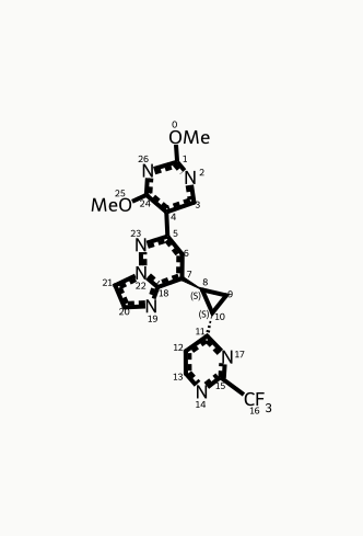 COc1ncc(-c2cc([C@H]3C[C@@H]3c3ccnc(C(F)(F)F)n3)c3nccn3n2)c(OC)n1